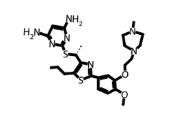 CCCc1sc(-c2ccc(OC)c(OCCN3CCN(C)CC3)c2)nc1[C@@H](C)Sc1nc(N)cc(N)n1